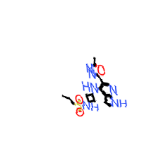 CCCS(=O)(=O)N[C@H]1C[C@@H](Nc2c(-c3nnc(C)o3)cnc3[nH]ccc23)C1